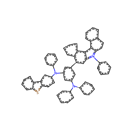 c1ccc(N(c2ccccc2)c2cc(-c3cc4c(c5ccccc35)c3c5ccccc5ccc3n4-c3ccccc3)cc(N(c3ccccc3)c3ccc4sc5ccccc5c4c3)c2)cc1